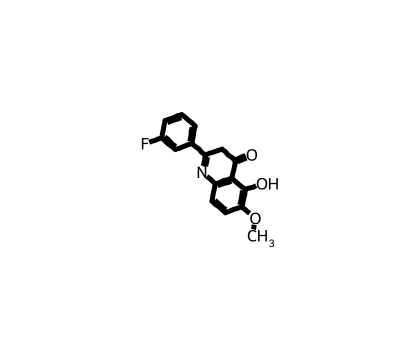 COc1ccc2c(c1O)C(=O)CC(c1cccc(F)c1)=N2